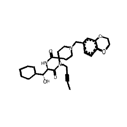 CC#CCN1C(=O)[C@@H]([C@H](O)C2CCCCC2)NC(=O)C12CCN(Cc1ccc3c(c1)OCCO3)CC2